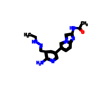 CCNN=Cc1cc(-c2ccc3nc(NC(C)=O)cn3c2)cnc1N